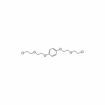 ClCCOCCOc1ccc(OCCOCCCl)cc1